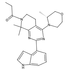 CCC(=O)N1CCc2c(N3CCOC[C@H]3C)nc(-c3cccc4[nH]ccc34)nc2C1(C)C